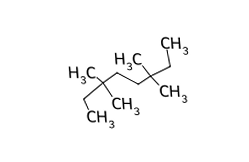 CCC(C)(C)CCC(C)(C)CC